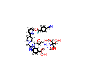 N#Cc1ccc(C(F)Oc2cccc(C3CCN(Cc4nc5ccc(C(=O)O)cc5n4C[C@@H]4CCO4)CC3)n2)cc1.NC(CO)(CO)CO